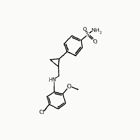 COc1ccc(Cl)cc1NCC1CC1c1ccc(S(N)(=O)=O)cc1